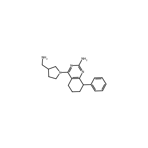 NCC1CCN(c2nc(N)nc3c2CCCC3c2ccccc2)C1